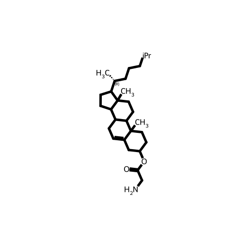 CC(C)CCC[C@@H](C)C1CCC2C3CC=C4CC(OC(=O)CN)CCC4(C)C3CCC21C